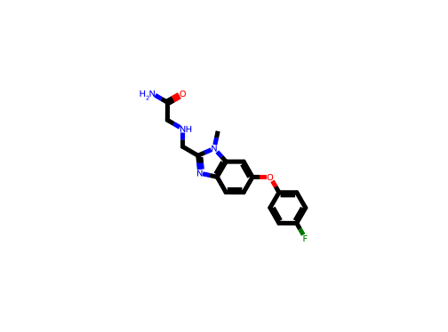 Cn1c(CNCC(N)=O)nc2ccc(Oc3ccc(F)cc3)cc21